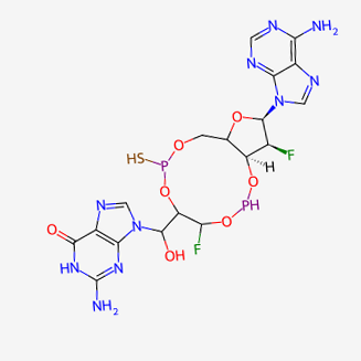 Nc1nc2c(ncn2C(O)C2OP(S)OCC3O[C@@H](n4cnc5c(N)ncnc54)[C@@H](F)[C@H]3OPOC2F)c(=O)[nH]1